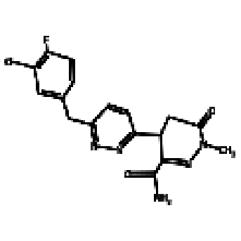 CN1N=C(C(N)=O)C(c2ccc(Cc3ccc(F)c(Cl)c3)nn2)CC1=O